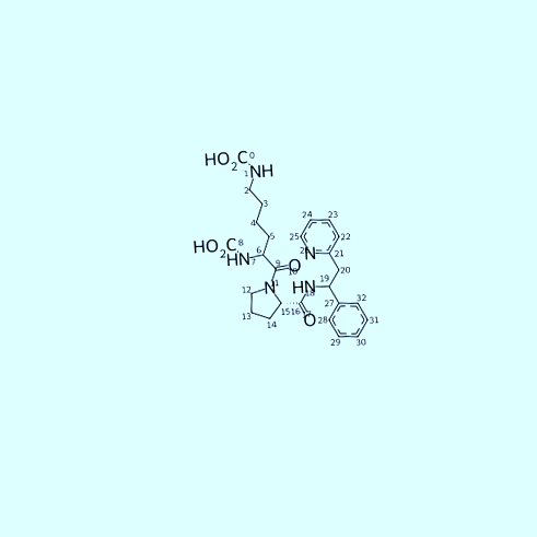 O=C(O)NCCCCC(NC(=O)O)C(=O)N1CCC[C@H]1C(=O)NC(Cc1ccccn1)c1ccccc1